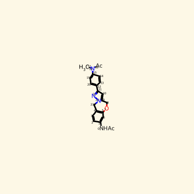 CC(=O)Nc1ccc2c(c1)OCc1cc(-c3ccc(N(C)C(C)=O)cc3)nn1C2